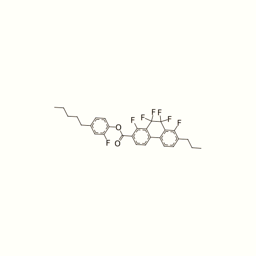 CCCCCc1ccc(OC(=O)c2ccc3c(c2F)C(F)(F)C(F)(F)c2c-3ccc(CCC)c2F)c(F)c1